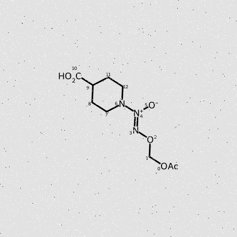 CC(=O)OCON=[N+]([O-])N1CCC(C(=O)O)CC1